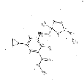 COC(=O)c1nc(C2CC2)nc(NCC2(C)C=CC(OC)O2)c1Cl